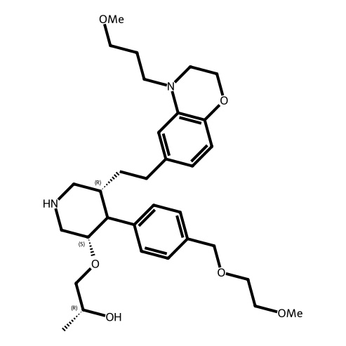 COCCCN1CCOc2ccc(CC[C@H]3CNC[C@@H](OC[C@@H](C)O)C3c3ccc(COCCOC)cc3)cc21